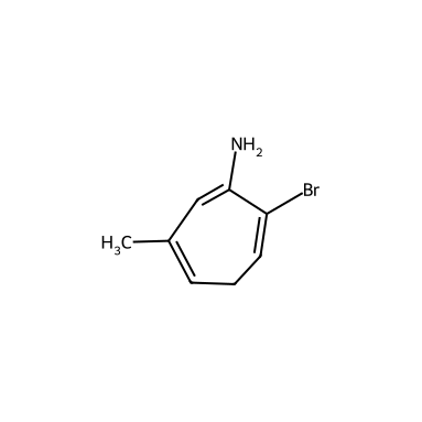 CC1=CCC=C(Br)C(N)=C1